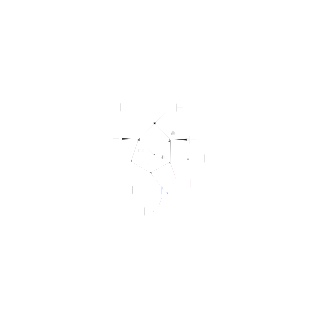 CN[C@H]1C[C@H]2C[C@H](C2(C)C)[C@@]1(C)O